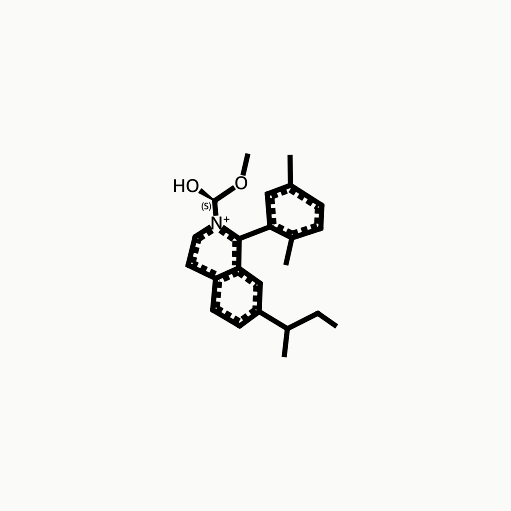 CCC(C)c1ccc2cc[n+]([C@@H](O)OC)c(-c3cc(C)ccc3C)c2c1